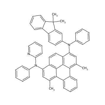 Cc1cc(N(c2ccccc2)c2ccc3c(c2)C(C)(C)c2ccccc2-3)c2ccc3c(N(c4ccccc4)c4ccccn4)cc(C)c4c5ccccc5c1c2c34